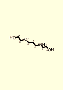 OCCNCCCOCCO